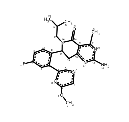 COc1cncc(-c2cc(F)ccc2C2Cc3nc(N)nc(C)c3C(=O)N2CC(C)C)n1